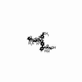 COc1ccc2c(c1)SC[C@@H](NC(=O)CC(C)(C)NCc1ccco1)C(=O)N2Cc1ccc(-c2ccccc2CNC(=O)NCCO)cc1